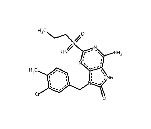 CCCS(=N)(=O)c1nc(N)c2[nH]c(=O)n(Cc3ccc(C)c(Cl)c3)c2n1